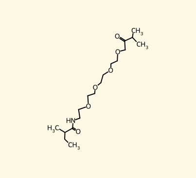 CCC(C)C(=O)NCCOCCOCCOCCOCC(=O)C(C)C